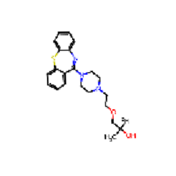 [2H]C(C)(O)COCCN1CCN(C2=Nc3ccccc3Sc3ccccc32)CC1